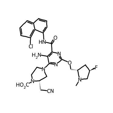 CN1C[C@H](F)C[C@H]1COc1nc(C(=O)Nc2cccc3cccc(Cl)c23)c(N)c(N2CCN(C(=O)O)[C@@H](CC#N)C2)n1